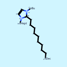 CCCCCCCCCCCCCCCCCCCC1N(CCCC)C=CN1CCCCCCC